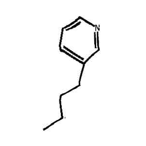 C[CH]CCc1cccnc1